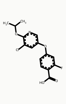 CC(C)Oc1ncc(Oc2ccc(C(=O)O)c(F)c2)cc1Cl